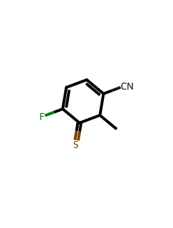 CC1C(=S)C(F)=CC=C1C#N